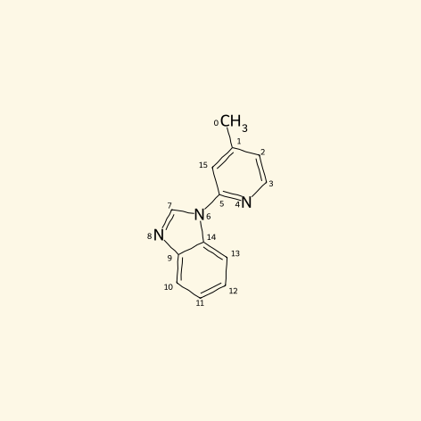 Cc1ccnc(-n2cnc3ccccc32)c1